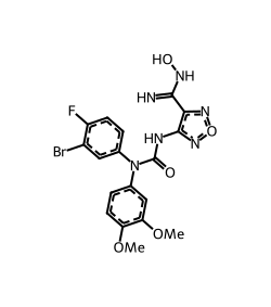 COc1ccc(N(C(=O)Nc2nonc2C(=N)NO)c2ccc(F)c(Br)c2)cc1OC